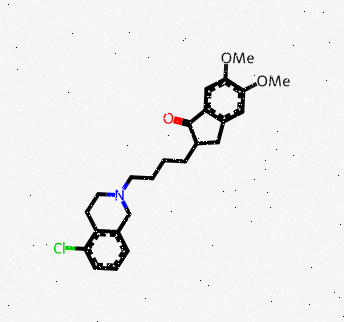 COc1cc2c(cc1OC)C(=O)C(CCCCN1CCc3c(Cl)cccc3C1)C2